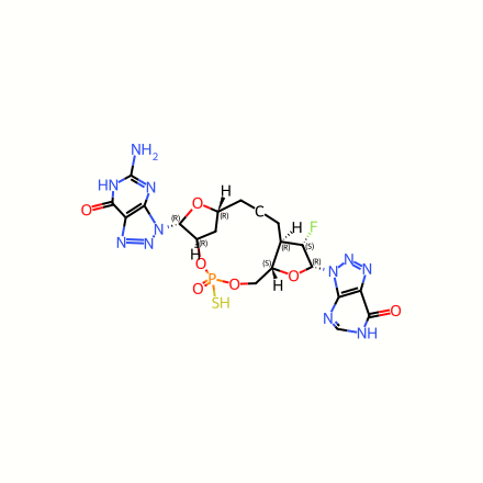 Nc1nc2c(nnn2[C@@H]2O[C@@H]3CCC[C@H]4[C@H](F)[C@H](n5nnc6c(=O)[nH]cnc65)O[C@@H]4COP(=O)(S)O[C@@H]2C3)c(=O)[nH]1